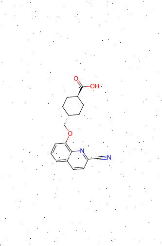 N#Cc1ccc2cccc(OC[C@H]3CC[C@H](C(=O)O)CC3)c2n1